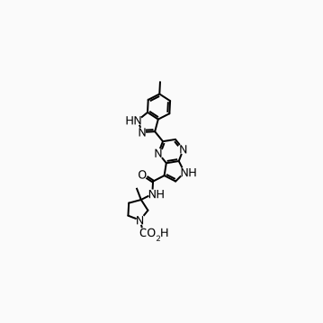 Cc1ccc2c(-c3cnc4[nH]cc(C(=O)NC5(C)CCN(C(=O)O)C5)c4n3)n[nH]c2c1